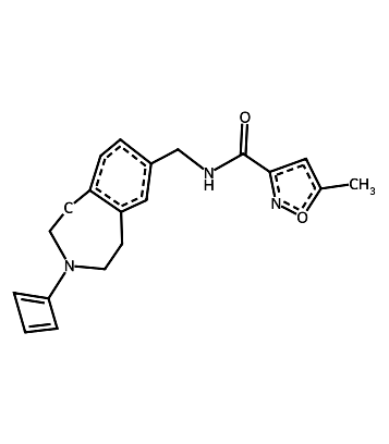 Cc1cc(C(=O)NCc2ccc3c(c2)CCN(C2=CC=C2)CC3)no1